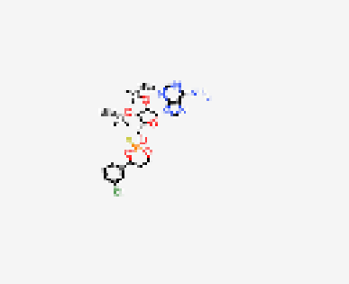 CC(C)(C)[Si](C)(C)O[C@@H]1[C@H](O[Si](C)(C)C(C)(C)C)[C@@H](COP2(=S)OCCC(c3cccc(Cl)c3)O2)O[C@H]1n1cnc2c(N)ncnc21